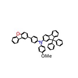 COc1ccc(N(c2ccc(-c3ccc4oc5ccccc5c4c3)cc2)c2ccc3c(c2)C(c2ccccc2)(c2ccccc2)c2ccccc2-3)cc1